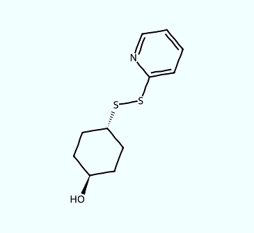 O[C@H]1CC[C@H](SSc2ccccn2)CC1